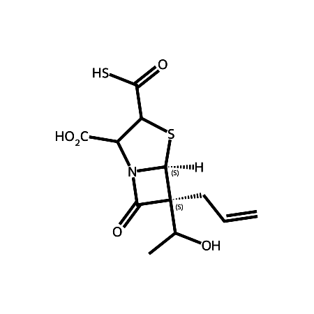 C=CC[C@]1(C(C)O)C(=O)N2C(C(=O)O)C(C(=O)S)S[C@H]21